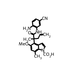 C=CCC(C)(C(=O)Nc1cc(C#N)ccc1N)c1c(OC)cc(C)c2c1ccn2C(=O)O